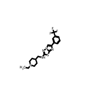 CCN1CCC(CNc2nn3cc(-c4cccc(C(F)(F)F)c4)nc3s2)CC1